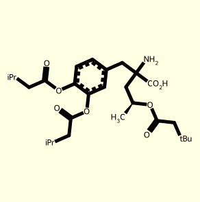 CC(C)CC(=O)Oc1ccc(CC(N)(C[C@H](C)OC(=O)CC(C)(C)C)C(=O)O)cc1OC(=O)CC(C)C